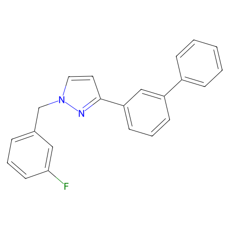 Fc1cccc(Cn2ccc(-c3cccc(-c4ccccc4)c3)n2)c1